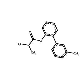 Cc1cccc(-c2ccccc2OC(=O)C(C)C)c1